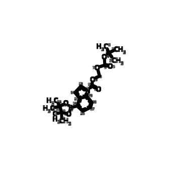 CC(C)(C)OC(=O)OCOC(=O)n1ccc2c(B3OC(C)(C)C(C)(C)O3)cccc21